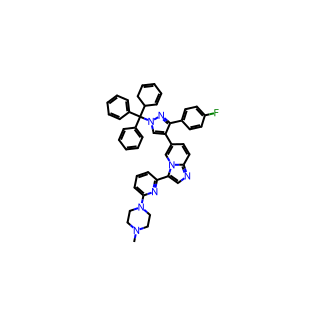 CN1CCN(c2cccc(-c3cnc4ccc(-c5cn(C(c6ccccc6)(c6ccccc6)C6C=CC=CC6)nc5-c5ccc(F)cc5)cn34)n2)CC1